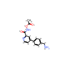 CC(=O)ONC(=O)c1cc(-c2ccc(CN)cc2)ccn1